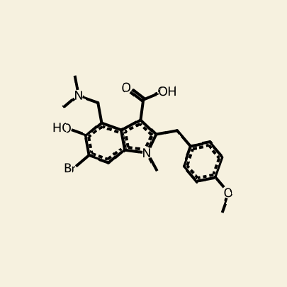 COc1ccc(Cc2c(C(=O)O)c3c(CN(C)C)c(O)c(Br)cc3n2C)cc1